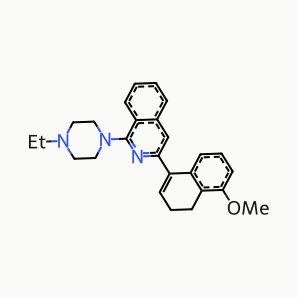 CCN1CCN(c2nc(C3=CCCc4c(OC)cccc43)cc3ccccc23)CC1